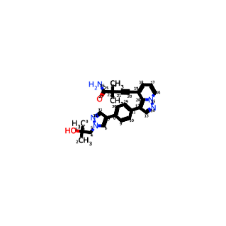 CC(C)(O)Cn1cc(-c2ccc(-c3cnn4cccc(C#CC(C)(C)C(N)=O)c34)cc2)cn1